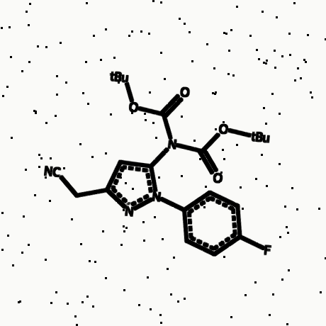 CC(C)(C)OC(=O)N(C(=O)OC(C)(C)C)c1cc(CC#N)nn1-c1ccc(F)cc1